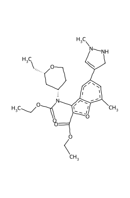 CCOC(=O)c1oc2c(C)cc(C3=CN(C)NC3)cc2c1N(C(=O)OCC)[C@H]1CCO[C@@H](CC)C1